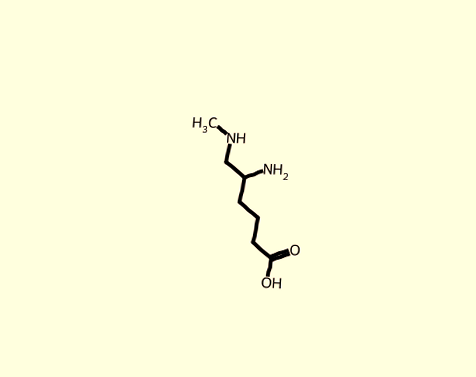 CNCC(N)CCCC(=O)O